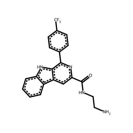 NCCNC(=O)c1cc2c([nH]c3ccccc32)c(-c2ccc(C(F)(F)F)cc2)n1